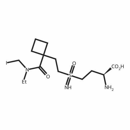 CCN(CI)C(=O)C1(CCS(=N)(=O)CC[C@H](N)C(=O)O)CCC1